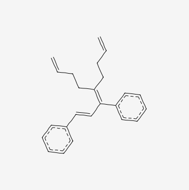 C=CCCC(CCC=C)=C(C=Cc1ccccc1)c1ccccc1